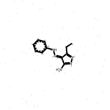 CCC1=NN=C(N)/C1=N/Nc1ccccc1